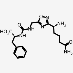 NC(=O)CCC[C@H](N)c1noc(CNC(=O)N[C@@H](Cc2ccccc2)C(=O)O)n1